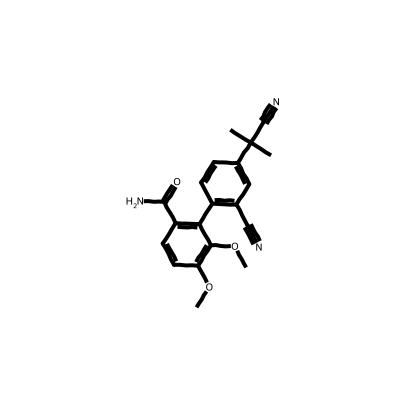 COc1ccc(C(N)=O)c(-c2ccc(C(C)(C)C#N)cc2C#N)c1OC